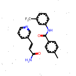 Cc1ccc(C(=O)Nc2cccc(C(F)(F)F)c2)cc1.NC(=O)C=Cc1cccnc1